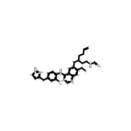 C=CCCC(CCNC=O)Cc1cc2c(Nc3ccc(Cc4cc[nH]n4)cc3F)ncnc2cc1CC